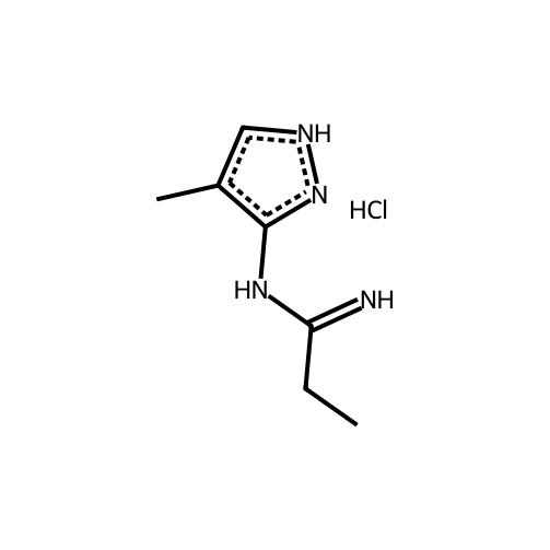 CCC(=N)Nc1n[nH]cc1C.Cl